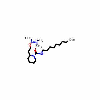 CCCCCCCCCCCCCCCCCCNC(=O)N1CCCCC1CCON(C=O)N(C)C